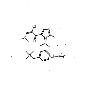 C[N+](C)(C)Cc1ccccc1.Cc1ncc(C(=O)/C(Cl)=C\N(C)C)n1C(C)C.Cl[I-]Cl